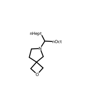 CCCCCCCCC(CCCCCCC)N1CCC2(COC2)C1